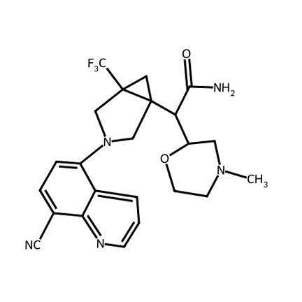 CN1CCOC(C(C(N)=O)C23CN(c4ccc(C#N)c5ncccc45)CC2(C(F)(F)F)C3)C1